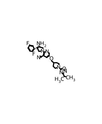 CC(C)c1noc(N2CCC(COc3cnc(N4C[C@H](c5cc(F)ccc5F)[C@@H](N)C4)c(C#N)c3)CC2)n1